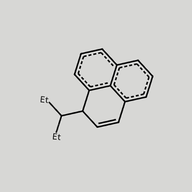 CCC(CC)C1C=Cc2cccc3cccc1c23